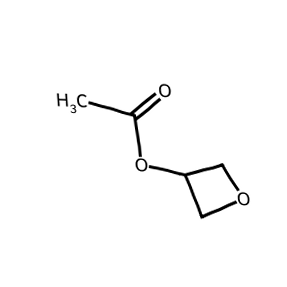 CC(=O)O[C]1COC1